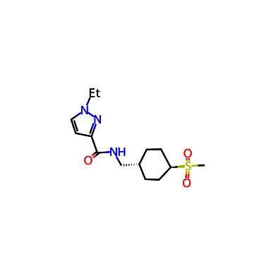 CCn1ccc(C(=O)NC[C@H]2CC[C@H](S(C)(=O)=O)CC2)n1